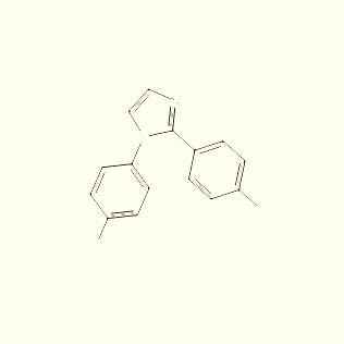 Cc1ccc(-n2ccnc2-c2ccc(F)cc2)cc1